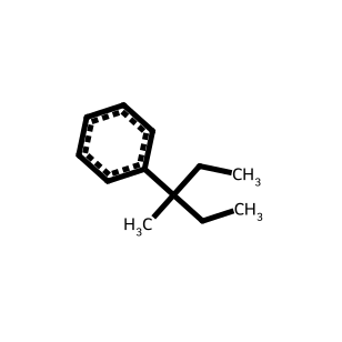 CCC(C)(CC)c1ccccc1